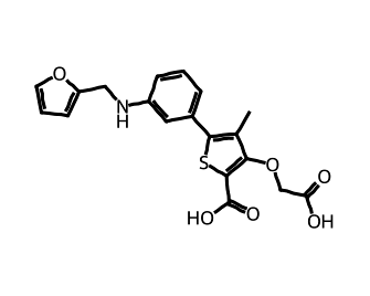 Cc1c(-c2cccc(NCc3ccco3)c2)sc(C(=O)O)c1OCC(=O)O